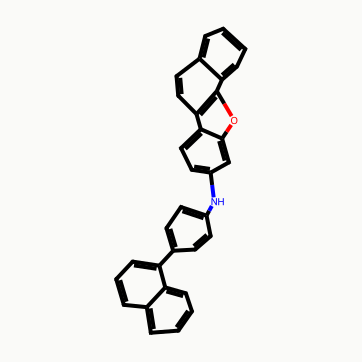 c1ccc2c(-c3ccc(Nc4ccc5c(c4)oc4c6ccccc6ccc54)cc3)cccc2c1